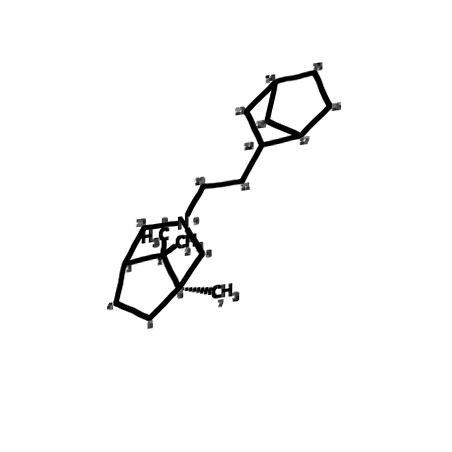 CC1(C)C2CC[C@]1(C)CN(CCC1CC3CCC1C3)C2